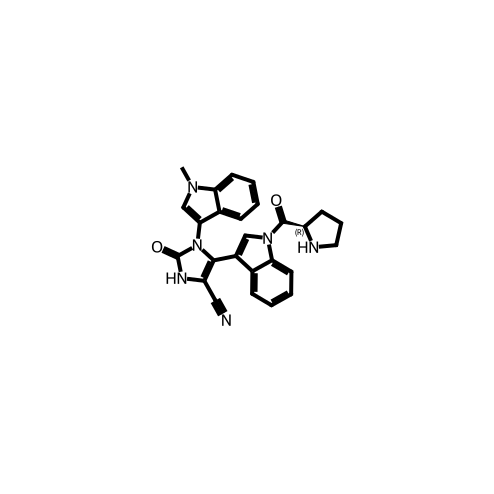 Cn1cc(-n2c(-c3cn(C(=O)[C@H]4CCCN4)c4ccccc34)c(C#N)[nH]c2=O)c2ccccc21